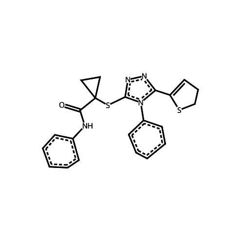 O=C(Nc1ccccc1)C1(Sc2nnc(C3=CCCS3)n2-c2ccccc2)CC1